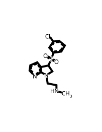 CNCCN1CC(S(=O)(=O)c2cccc(Cl)c2)c2cccnc21